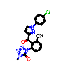 Cn1nnn(-c2cccc(C#N)c2C(=O)c2ccn(-c3ccc(Cl)cc3)n2)c1=O